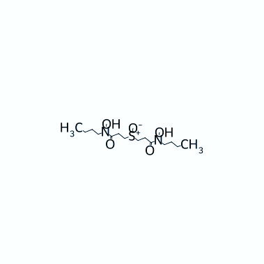 CCCCN(O)C(=O)CC[S+]([O-])CCC(=O)N(O)CCCC